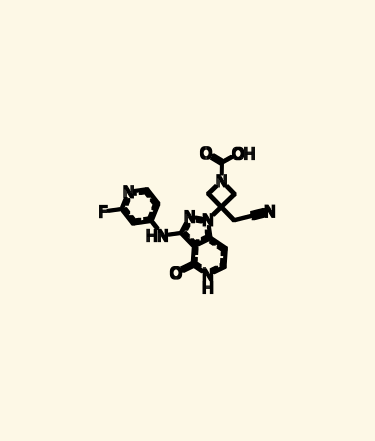 N#CCC1(n2nc(Nc3ccnc(F)c3)c3c(=O)[nH]ccc32)CN(C(=O)O)C1